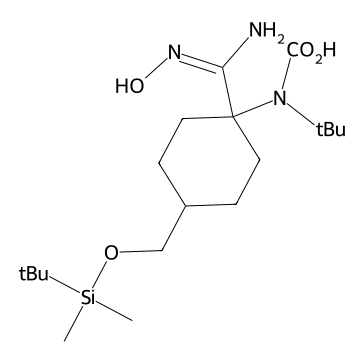 CC(C)(C)N(C(=O)O)C1(/C(N)=N\O)CCC(CO[Si](C)(C)C(C)(C)C)CC1